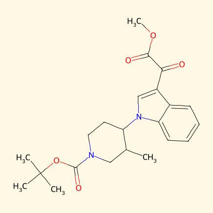 COC(=O)C(=O)c1cn(C2CCN(C(=O)OC(C)(C)C)CC2C)c2ccccc12